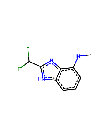 CNc1cccc2[nH]c(C(F)F)nc12